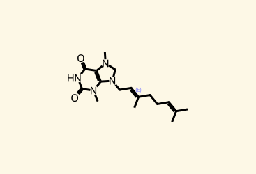 CC(C)=CCC/C(C)=C/CN1CN(C)c2c1n(C)c(=O)[nH]c2=O